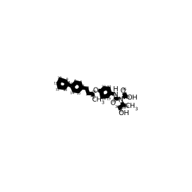 CC(CCc1ccc(-c2ccccc2)cc1)Oc1ccc(NC(=O)N(C(=O)O)C(C)CO)cc1